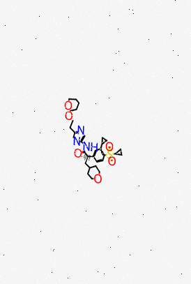 O=C(Nc1cnc(CCOC2CCCCO2)cn1)[C@H](CC1CCOCC1)c1ccc(S(=O)(=O)C2CC2)c(C2CC2)c1